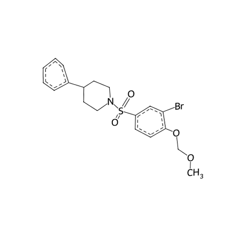 COCOc1ccc(S(=O)(=O)N2CCC(c3ccccc3)CC2)cc1Br